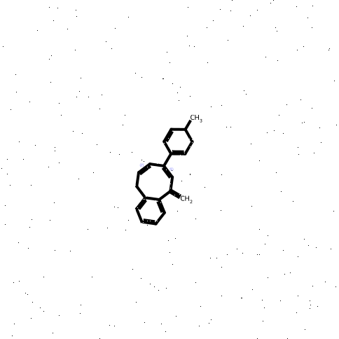 C=C1/C=C(C2=CCC(C)C=C2)\C=C/Cc2ccccc21